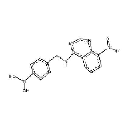 O=[N+]([O-])c1cccc2c(NCc3ccc(B(O)O)cc3)ncnc12